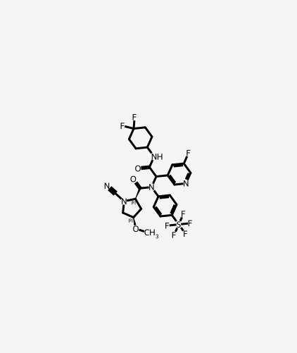 CO[C@@H]1C[C@H](C(=O)N(c2ccc(S(F)(F)(F)(F)F)cc2)C(C(=O)NC2CCC(F)(F)CC2)c2cncc(F)c2)N(C#N)C1